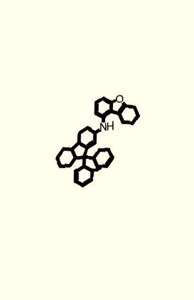 CC1C=CC=CC1C1(C2CC=CCC2)C2=CC(Nc3cccc4oc5c(c34)CCCC5)CCC2C2CCCCC21